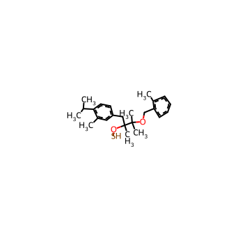 Cc1ccccc1COC(C)(C)C(C)(Cc1ccc(C(C)C)c(C)c1)OS